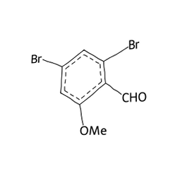 COc1cc(Br)cc(Br)c1C=O